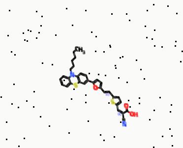 CCCCCCN1c2ccccc2Sc2cc(-c3ccc(/C=C/c4ccc(/C=C(/C#N)C(=O)O)s4)o3)ccc21